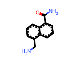 NCc1cccc2c(C(N)=O)cccc12